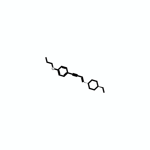 CCCOc1ccc(C#CC=C[C@H]2CC[C@H](CC)CC2)cc1